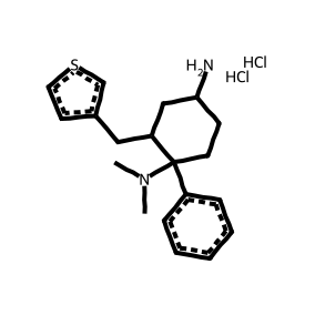 CN(C)C1(c2ccccc2)CCC(N)CC1Cc1ccsc1.Cl.Cl